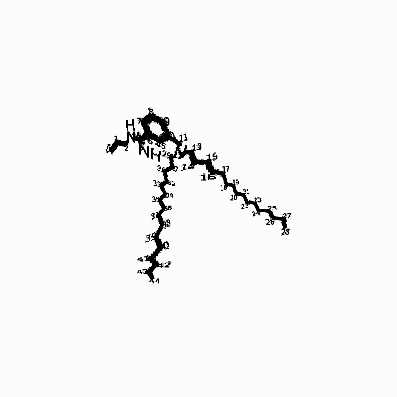 C=CCNC(=N)c1cccc(CN(CCCCCCCCCCCCCCCC)CCCCCCCCCCCCCCCC)c1